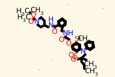 CCCCC1(CC)CN(c2ccccc2)c2cc(SC)c(OCC(=O)NCc3ccccc3C(=O)NCC3CCN(C(=O)OC(C)(C)C)CC3)cc2S(=O)(=O)C1